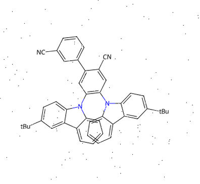 CC(C)(C)c1ccc2c(c1)c1ccccc1n2-c1cc(C#N)c(-c2cccc(C#N)c2)cc1-n1c2ccccc2c2cc(C(C)(C)C)ccc21